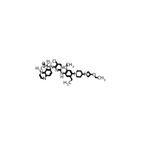 CCOC1CN(C2CCN(c3cc(OC)c(Nc4ncc(Cl)c(Nc5ccc6nccnc6c5P(C)(C)=O)n4)cc3CC)CC2)C1